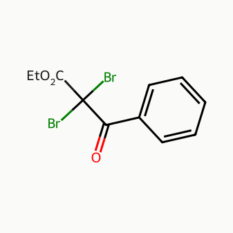 CCOC(=O)C(Br)(Br)C(=O)c1ccccc1